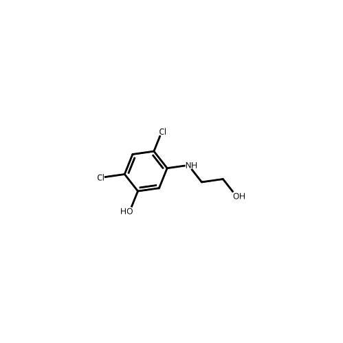 OCCNc1cc(O)c(Cl)cc1Cl